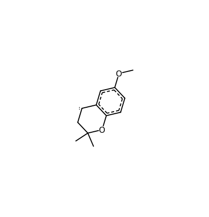 COc1ccc2c(c1)[C]CC(C)(C)O2